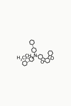 CC1(C)c2ccccc2-c2ccc(N(c3ccc(-c4ccccc4)cc3)c3ccc4c(c3)oc3ccc5oc6ccccc6c5c34)cc21